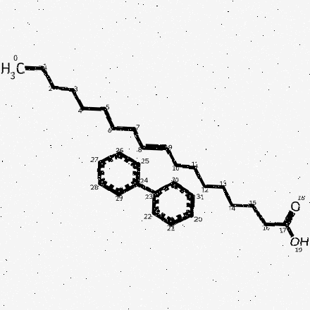 CCCCCCCCC=CCCCCCCCC(=O)O.c1ccc(-c2ccccc2)cc1